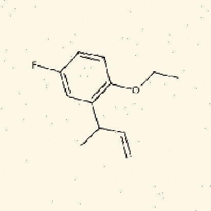 C=C[C](C)c1cc(F)ccc1OCC